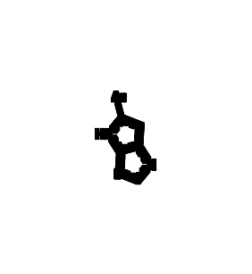 CC(=O)c1cc2ncsc2[nH]1